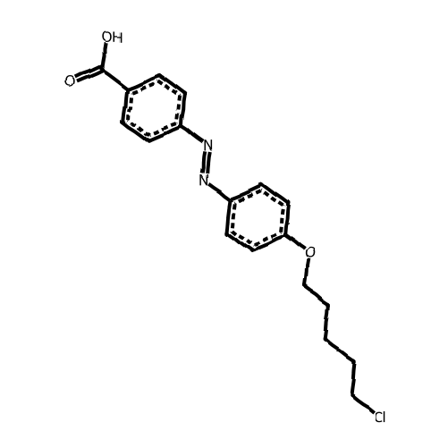 O=C(O)c1ccc(N=Nc2ccc(OCCCCCCl)cc2)cc1